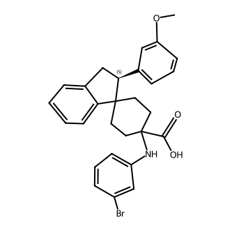 COc1cccc([C@@H]2Cc3ccccc3C23CCC(Nc2cccc(Br)c2)(C(=O)O)CC3)c1